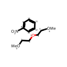 COCCOCCOC.O=[N+]([O-])c1ccccc1